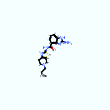 CC(C)(C)CCN1CCc2nc(NC(=O)c3cccc4[nH]c(N)nc34)sc2C1